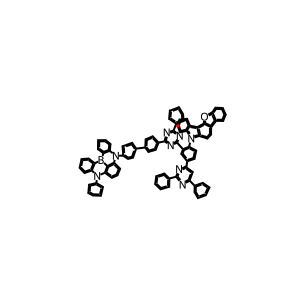 c1ccc(-c2cc(-c3ccc(-n4c5ccccc5c5c6oc7ccccc7c6ccc54)c(-c4nc(-c5ccccc5)nc(-c5ccc(-c6ccc(N7c8ccccc8B8c9ccccc9N(c9ccccc9)c9cccc7c98)cc6)cc5)n4)c3)nc(-c3ccccc3)n2)cc1